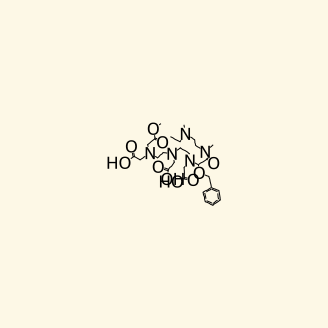 CCN(C)CCN(C)C(=O)C(OCc1ccccc1)N(CCN(CCN(CC(=O)O)CC(=O)OC)CC(=O)O)CC(=O)O